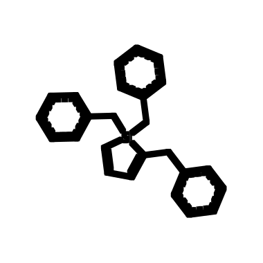 C1=C[Si](Cc2ccccc2)(Cc2ccccc2)C(Cc2ccccc2)=C1